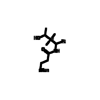 CCCCCCCCCCCC(=O)NC(CC)[N+](C)(C)C(C)O